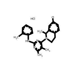 Cc1ccccc1Nc1nc(C)c(C)c(N2CCc3ccc(Cl)cc3C2C)n1.Cl